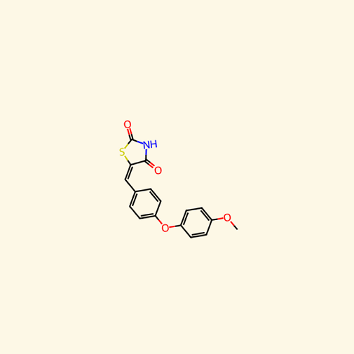 COc1ccc(Oc2ccc(C=C3SC(=O)NC3=O)cc2)cc1